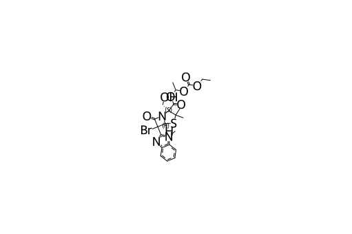 CCOC(=O)OC(C)OC(=O)[C@]1(CO)N2C(=O)C(Br)(c3nc4ccccc4n3C)[C@H]2SC1(C)C